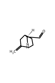 C=C1CC2CCC1N[C@@H]2C=O